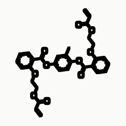 C=CC(=O)OCCOc1ccccc1C(=O)Oc1ccc(OC(=O)c2ccccc2OCCOC(=O)C=C)c(C)c1